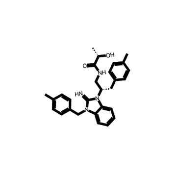 Cc1ccc(C[C@@H](CNC(=O)[C@H](C)O)n2c(=N)n(Cc3ccc(C)cc3)c3ccccc32)cc1